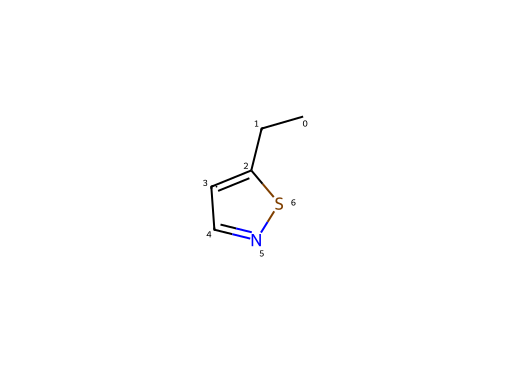 CCc1[c]cns1